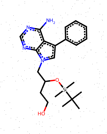 CC(C)(C)[Si](C)(C)OC(CCO)Cn1cc(-c2ccccc2)c2c(N)ncnc21